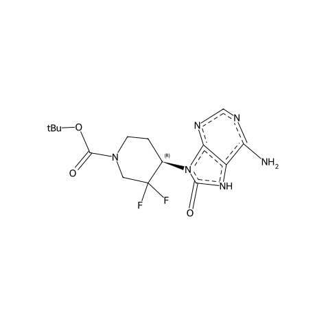 CC(C)(C)OC(=O)N1CC[C@@H](n2c(=O)[nH]c3c(N)ncnc32)C(F)(F)C1